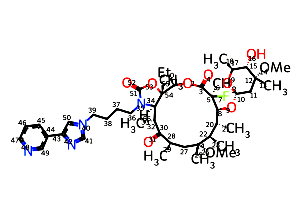 CC[C@H]1OC(=O)[C@@](C)(F)[C@@H](O[C@H]2C[C@@](C)(OC)[C@@H](O)[C@H](C)O2)[C@H](C)[C@@H](C)[C@](C)(OC)C[C@@H](C)C(=O)[C@H](C)[C@H]2N(CCCCn3cnc(-c4cccnc4)c3)C(=O)O[C@]12C